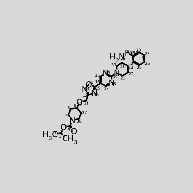 CC(C)OC(=O)N1CCC(OCc2noc(-c3cnc(N4CC[C@@H](c5ccccc5F)[C@@H](N)C4)nc3)n2)CC1